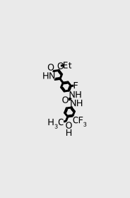 CCOc1cc(-c2ccc(NC(=O)Nc3ccc(C(C)O)c(C(F)(F)F)c3)c(F)c2)c[nH]c1=O